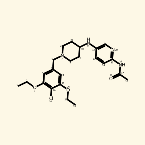 CCOc1cc(CN2CCC(Nc3ccc(NC(C)=O)nc3)CC2)cc(OCC)c1Cl